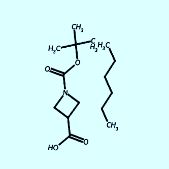 CC(C)(C)OC(=O)N1CC(C(=O)O)C1.CCCCCC